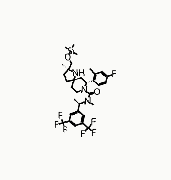 Cc1cc(F)ccc1[C@H]1C[C@@]2(CCN1C(=O)N(C)[C@H](C)c1cc(C(F)(F)F)cc(C(F)(F)F)c1)CC[C@@](C)(CO[Si](C)(C)C)N2